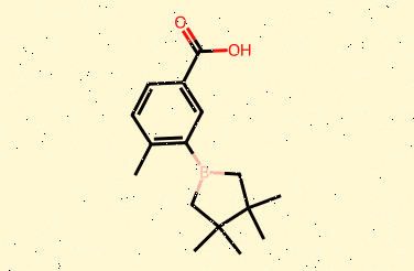 Cc1ccc(C(=O)O)cc1B1CC(C)(C)C(C)(C)C1